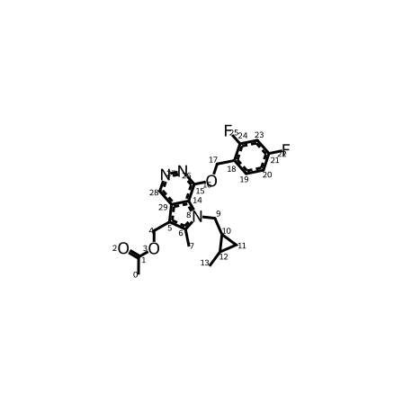 CC(=O)OCc1c(C)n(CC2CC2C)c2c(OCc3ccc(F)cc3F)nncc12